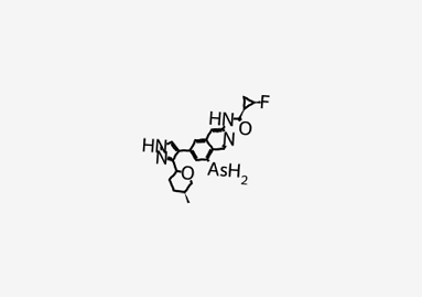 C[C@H]1CCC(c2n[nH]cc2-c2cc([AsH2])c3cnc(NC(=O)[C@H]4C[C@H]4F)cc3c2)OC1